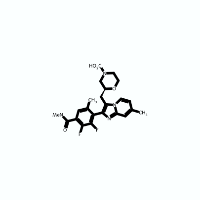 CNC(=O)c1cc(C)c(-c2nc3cc(C)ccn3c2C[C@H]2CN(C(=O)O)CCO2)c(F)c1F